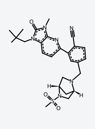 Cn1c(=O)n(CC(C)(C)C)c2ccc(-c3cc(CN4C[C@@H]5C[C@H]4CN5S(C)(=O)=O)ccc3C#N)nc21